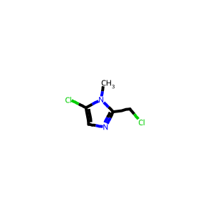 Cn1c(Cl)cnc1CCl